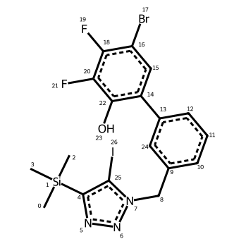 C[Si](C)(C)c1nnn(Cc2cccc(-c3cc(Br)c(F)c(F)c3O)c2)c1I